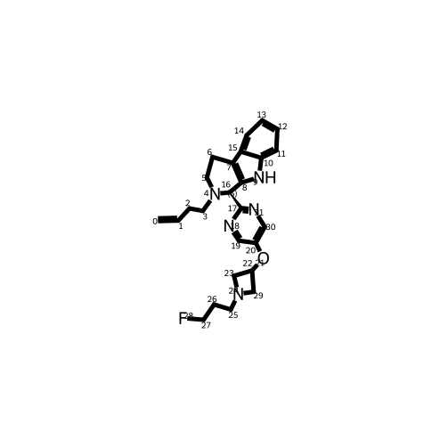 C=CCCN1CCc2c([nH]c3ccccc23)[C@H]1c1ncc(OC2CN(CCCF)C2)cn1